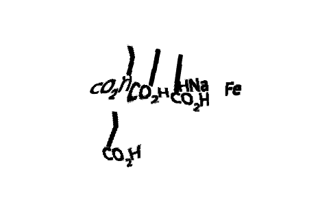 CC(=O)O.CC(=O)O.CC(=O)O.CC(=O)O.[Fe].[NaH]